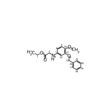 CCOC(=O)CNc1ccc(OC)c(OCc2ccccc2)c1